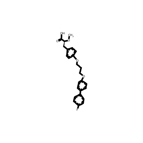 CO[C@@H](Cc1ccc(OCCCOc2ccc(-c3ccc(F)cc3)cc2)cc1)C(=O)O